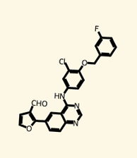 O=Cc1ccoc1-c1ccc2ncnc(Nc3ccc(OCc4cccc(F)c4)c(Cl)c3)c2c1